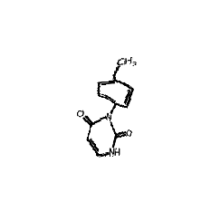 Cc1ccc(-n2c(=O)cc[nH]c2=O)cc1